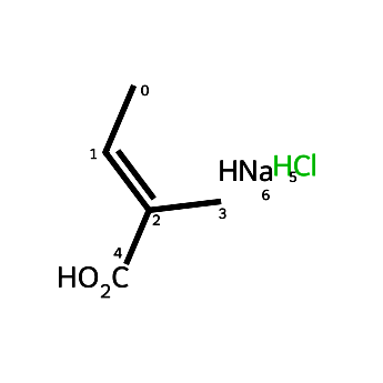 CC=C(C)C(=O)O.Cl.[NaH]